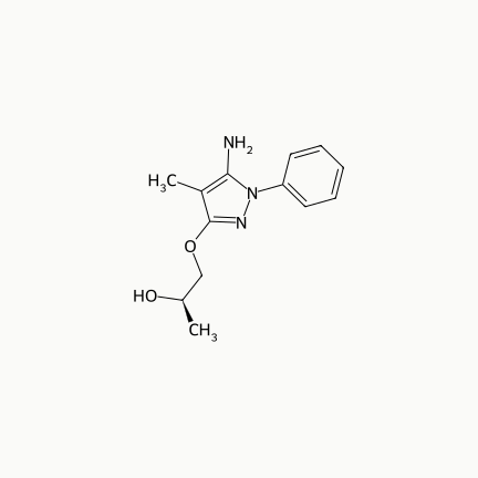 Cc1c(OC[C@@H](C)O)nn(-c2ccccc2)c1N